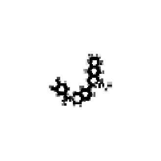 Cc1ccc(C(=O)N2CCc3ccc(C(Cc4cc5nccnc5cc4C)C(=O)O)cc3C2)cc1C